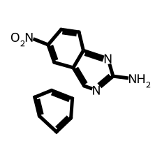 Nc1ncc2cc([N+](=O)[O-])ccc2n1.c1ccccc1